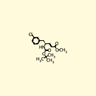 COC(=O)C=C[C@H](Cc1cccc(Cl)c1)NC(=O)OC(C)(C)C